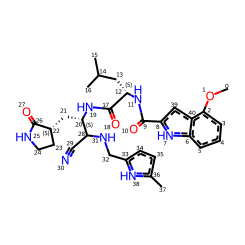 COc1cccc2[nH]c(C(=O)N[C@@H](CC(C)C)C(=O)N[C@@H](C[C@@H]3CCNC3=O)C(C#N)NCc3ccc(C)[nH]3)cc12